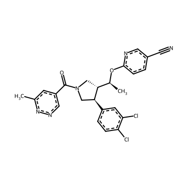 Cc1cc(C(=O)N2C[C@H]([C@H](C)Oc3ccc(C#N)cn3)[C@@H](c3ccc(Cl)c(Cl)c3)C2)cnn1